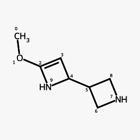 COC1=CC(C2CNC2)N1